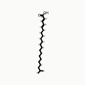 CC(C)CCCCCCCCCCCCCCC=CC=CC(=O)O